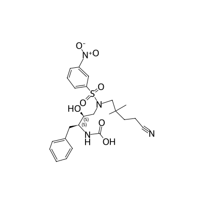 CC(C)(CCC#N)CN(C[C@H](O)[C@H](Cc1ccccc1)NC(=O)O)S(=O)(=O)c1cccc([N+](=O)[O-])c1